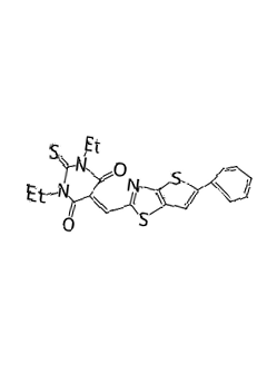 CCN1C(=O)C(=Cc2nc3sc(-c4ccccc4)cc3s2)C(=O)N(CC)C1=S